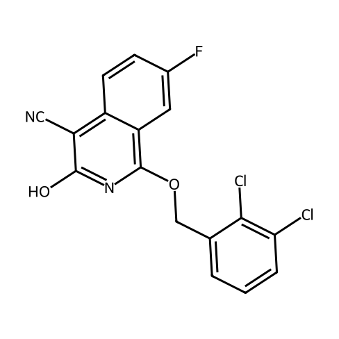 N#Cc1c(O)nc(OCc2cccc(Cl)c2Cl)c2cc(F)ccc12